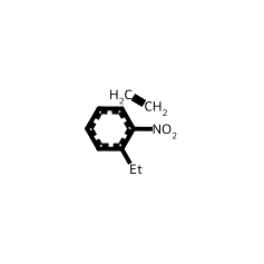 C=C.CCc1ccccc1[N+](=O)[O-]